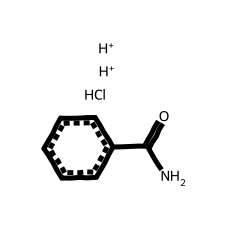 Cl.NC(=O)c1ccccc1.[H+].[H+]